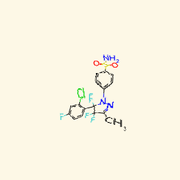 CC1=NN(c2ccc(S(N)(=O)=O)cc2)C(F)(c2ccc(F)cc2Cl)C1(F)F